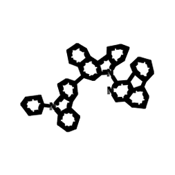 c1ccc(-n2c3ccccc3c3cc(-c4cc5c(c6ccccc46)c4ccccc4n5-c4ncc5cccc6c5c4-c4ccccc4-6)ccc32)cc1